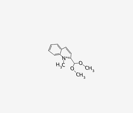 COC(OC)c1ccc2ccccc2[n+]1C